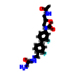 CC(=O)NCC1CN(c2ccc(-c3ccc(C=NNC(N)=O)c(F)c3)c(F)c2)C(=O)O1